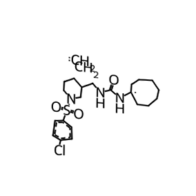 O=C(NCC1CCCN(S(=O)(=O)c2ccc(Cl)cc2)C1)N[C]1CCCCCCC1.[CH2].[CH2]